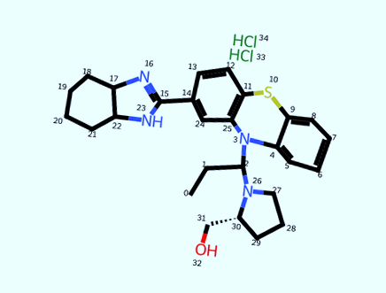 CCC(N1c2ccccc2Sc2ccc(C3=NC4CCCCC4N3)cc21)N1CCC[C@@H]1CO.Cl.Cl